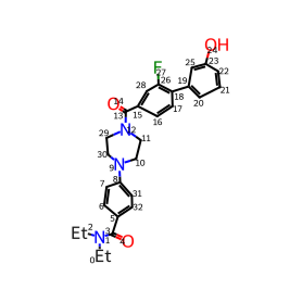 CCN(CC)C(=O)c1ccc(N2CCN(C(=O)c3ccc(-c4cccc(O)c4)c(F)c3)CC2)cc1